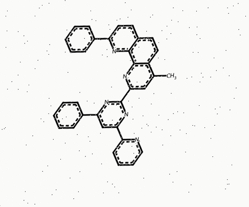 Cc1cc(-c2nc(-c3ccccc3)cc(-c3ccccn3)n2)nc2c1ccc1ccc(-c3ccccc3)nc12